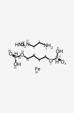 NCCN.O=[PH](O)OCCCCO[PH](=O)O.[Fe].[NaH]